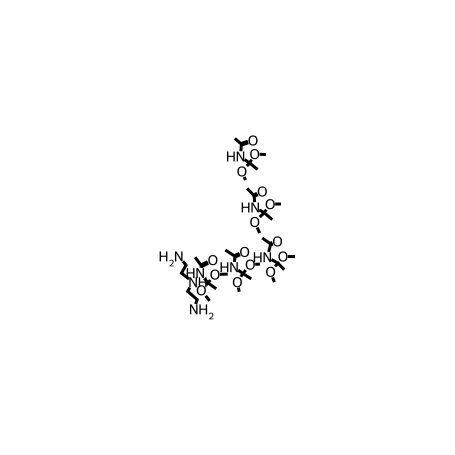 COC(C)(NC(C)=O)OC.COC(C)(NC(C)=O)OC.COC(C)(NC(C)=O)OC.COC(C)(NC(C)=O)OC.COC(C)(NC(C)=O)OC.NCCNCCN